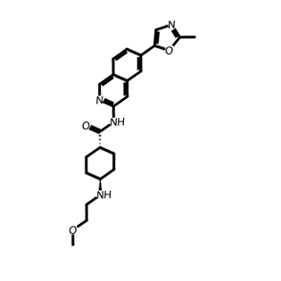 COCCN[C@H]1CC[C@H](C(=O)Nc2cc3cc(-c4cnc(C)o4)ccc3cn2)CC1